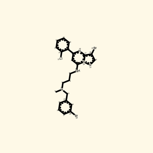 CN(CCCNc1cc(-c2ccccc2Cl)nc2c(Br)cnn12)Cc1cccc(Br)c1